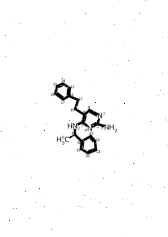 C[C@@H](Nc1nc(N)ncc1CCc1ccccc1)c1ccccc1